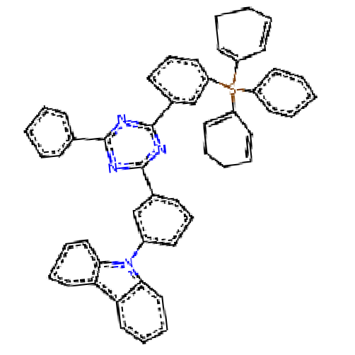 C1=CC(S(C2=CCCC=C2)(c2ccccc2)c2cccc(-c3nc(-c4ccccc4)nc(-c4cccc(-n5c6ccccc6c6ccccc65)c4)n3)c2)=CCC1